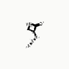 [N-]=[N+]=NC1CNC1=O